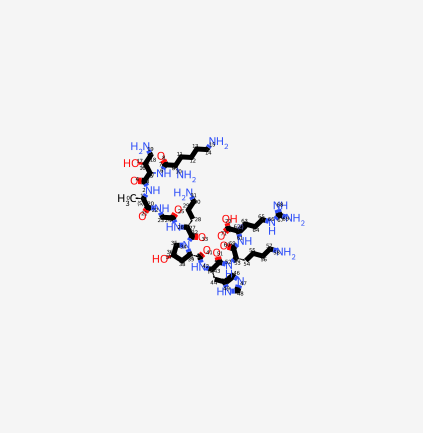 C[C@H](NC(=O)[C@@H](NC(=O)[C@@H](N)CCCCN)[C@@H](O)CN)C(=O)NCC(=O)N[C@H](CCCN)C(=O)N1C[C@H](O)C[C@H]1C(=O)N[C@@H](Cc1cnc[nH]1)C(=O)N[C@@H](CCCCN)C(=O)N/C(=C\CCNC(=N)N)C(=O)O